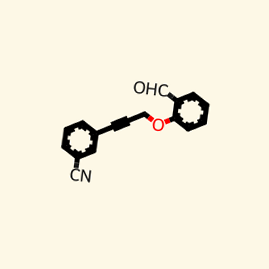 N#Cc1cccc(C#CCOc2ccccc2C=O)c1